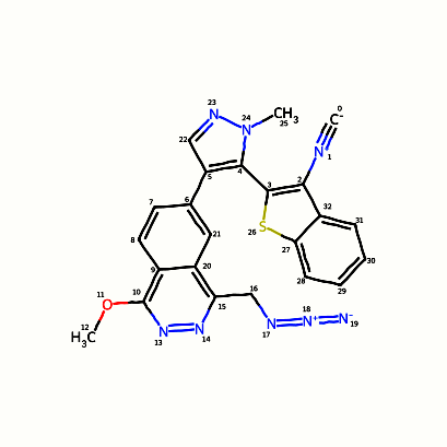 [C-]#[N+]c1c(-c2c(-c3ccc4c(OC)nnc(CN=[N+]=[N-])c4c3)cnn2C)sc2ccccc12